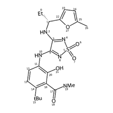 CC[C@@H](NC1=NS(=O)(=O)N=C1Nc1ccc(C(C)(C)C)c(C(=O)NC)c1O)c1ccc(C)o1